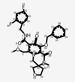 COCc1c(C(=O)NCc2ccc(F)cc2F)c(=O)c(OCc2ccccc2)c2n1CC1(CCOC1)N(C)C2=O